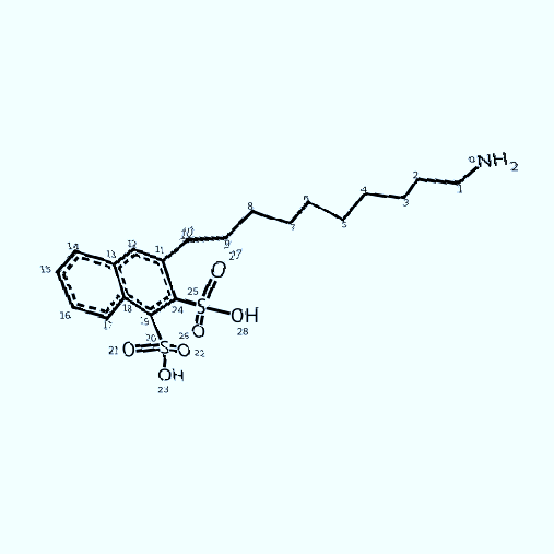 NCCCCCCCCCCc1cc2ccccc2c(S(=O)(=O)O)c1S(=O)(=O)O